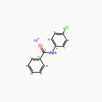 I.O=C(Nc1ccc(Cl)cc1)c1ccccc1